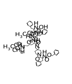 CC(C)CC(NC(=O)C(Cc1ccccc1)NC(=O)C(Cc1ccccc1)NC(=O)O)C(=O)NC(CCCCNC(=O)OC(C)(C)C)C(=O)N1CC2(CCN(C(=O)C(Cc3ccccc3)NC(=O)OCc3ccccc3)CC2)C1